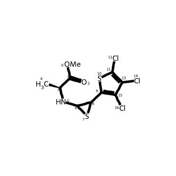 COC(=O)[C@H](C)NC1SC1c1sc(Cl)c(Cl)c1Cl